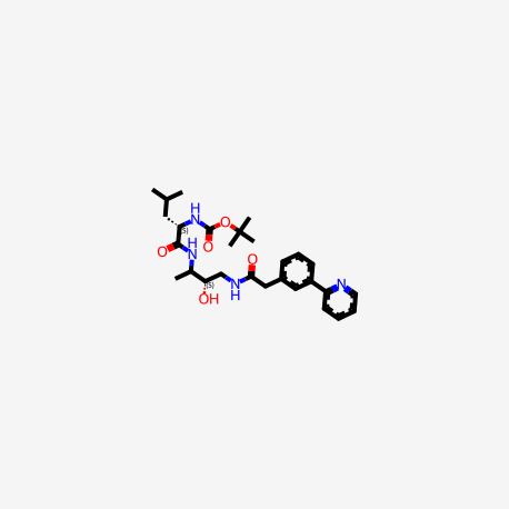 CC(C)C[C@H](NC(=O)OC(C)(C)C)C(=O)NC(C)[C@@H](O)CNC(=O)Cc1cccc(-c2ccccn2)c1